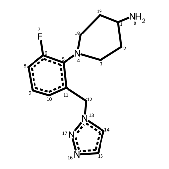 NC1CCN(c2c(F)cccc2[CH]n2ccnn2)CC1